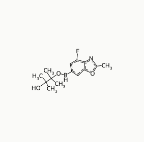 Cc1nc2c(F)cc(BOC(C)(C)C(C)(C)O)cc2o1